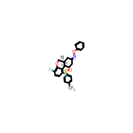 O=S(=O)(c1ccc(C(F)(F)F)cc1)[C@@]12CC/C(=N/Oc3ccccc3)C[C@@H]1COc1c(F)ccc(F)c12